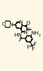 C[C@@H](Nc1nn(C)c(=O)c2ncc(N3CCOCC3)cc12)c1cc(N)cc(C(F)(F)F)c1